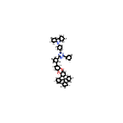 c1ccc(-c2nc(-c3ccc(-n4c5ccccc5c5ccccc54)cc3)nc(-c3cccc(-c4ccc5c(c4)Oc4ccc6c(c4O5)-c4ccccc4C6(c4ccccc4)c4ccccc4)c3)n2)cc1